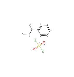 CCC(C)c1ccccc1.O=S(=O)(Cl)Cl